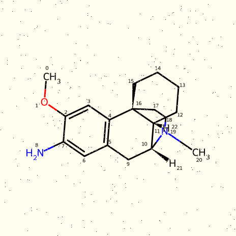 COc1cc2c(cc1N)C[C@@H]1[C@H]3CCCC[C@]23CCN1C